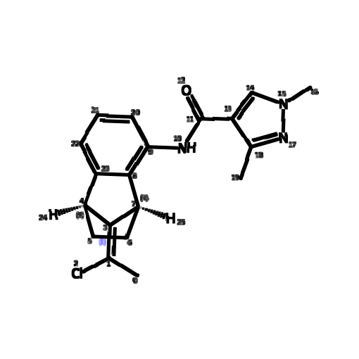 C/C(Cl)=C1/[C@H]2CC[C@@H]1c1c(NC(=O)c3cn(C)nc3C)cccc12